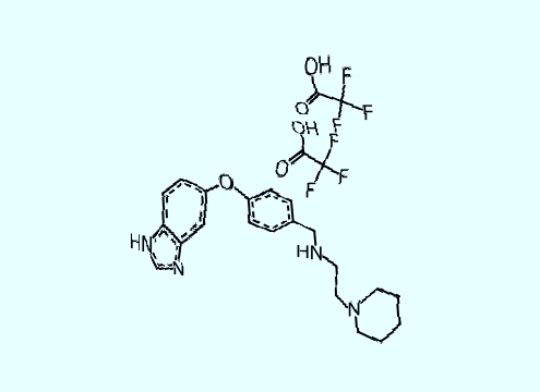 O=C(O)C(F)(F)F.O=C(O)C(F)(F)F.c1nc2cc(Oc3ccc(CNCCN4CCCCC4)cc3)ccc2[nH]1